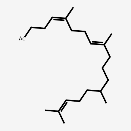 CC(=O)CC/C=C(/C)CC/C=C(\C)CCCC(C)CCC=C(C)C